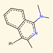 Cc1nc(N(C)C)c2ccccc2c1C(C)C